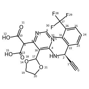 C#C[C@@H](Nc1ncnc(C(C(=O)O)C(=O)O)c1C1OCCO1)c1cccc(C(F)(F)F)c1C